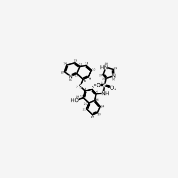 O=S(=O)(Nc1cc(Sc2cccc3cccnc23)c(O)c2ccccc12)c1c[nH]cn1